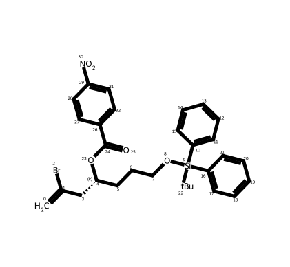 C=C(Br)C[C@@H](CCCO[Si](c1ccccc1)(c1ccccc1)C(C)(C)C)OC(=O)c1ccc([N+](=O)[O-])cc1